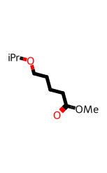 COC(=O)CCCCOC(C)C